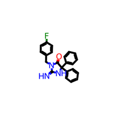 N=C1NC(c2ccccc2)(c2ccccc2)C(=O)N1Cc1ccc(F)cc1